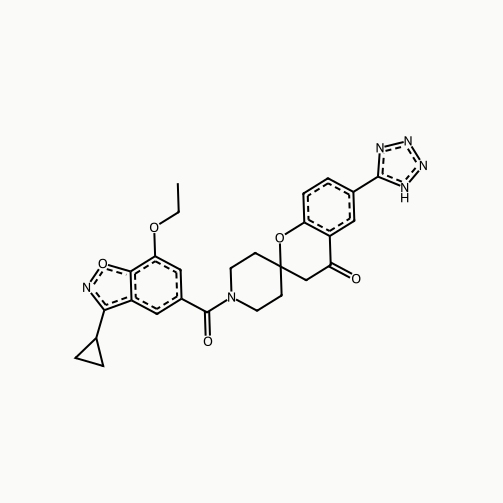 CCOc1cc(C(=O)N2CCC3(CC2)CC(=O)c2cc(-c4nnn[nH]4)ccc2O3)cc2c(C3CC3)noc12